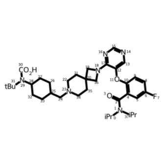 CC(C)N(C(=O)c1cc(F)ccc1Oc1cncnc1N1CC2(CCN(CC3CCC(N(C(=O)O)C(C)(C)C)CC3)CC2)C1)C(C)C